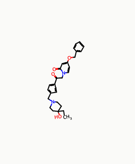 CCC1(O)CCN(Cc2ccc(C(=O)Cn3ccc(OCc4ccccc4)cc3=O)cc2)CC1